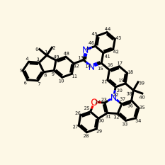 CC1(C)c2ccccc2-c2ccc(-c3nc(-c4ccc5c(c4)-n4c6oc7ccccc7c6c6cccc(c64)C5(C)C)c4ccccc4n3)cc21